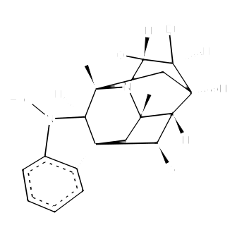 CC[C@H]1[C@@H]2C[C@H]3[C@@H]4N(C)c5ccccc5[C@]45C[C@@H]([C@H]2[C@H]5O)N3[C@@H]1O